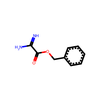 N=C(N)C(=O)OCc1ccccc1